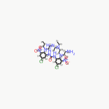 CCCN(CCN)c1c(NC(=O)Nc2cc(Cl)cc([N+](=O)[O-])c2N(CCN)CCN(CC)CC)cc(Cl)cc1[N+](=O)[O-]